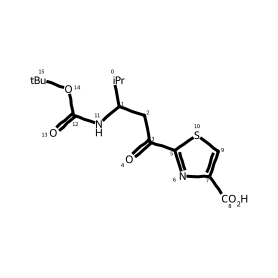 CC(C)C(CC(=O)c1nc(C(=O)O)cs1)NC(=O)OC(C)(C)C